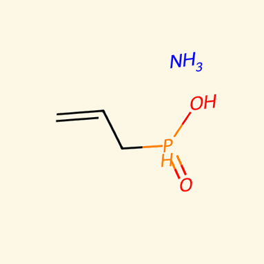 C=CC[PH](=O)O.N